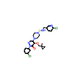 CC1(COc2c(N3CCN(SNCc4ccc(Cl)nc4)CC3)cnn(-c3cccc(Cl)c3)c2=O)CC1